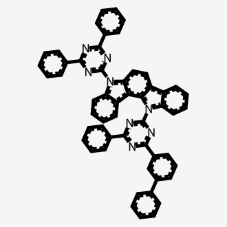 c1ccc(-c2cccc(-c3nc(-c4ccccc4)nc(-n4c5ccccc5c5ccc6c(c7ccccc7n6-c6nc(-c7ccccc7)nc(-c7ccccc7)n6)c54)n3)c2)cc1